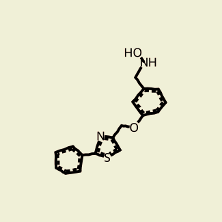 ONCc1cccc(OCc2csc(-c3ccccc3)n2)c1